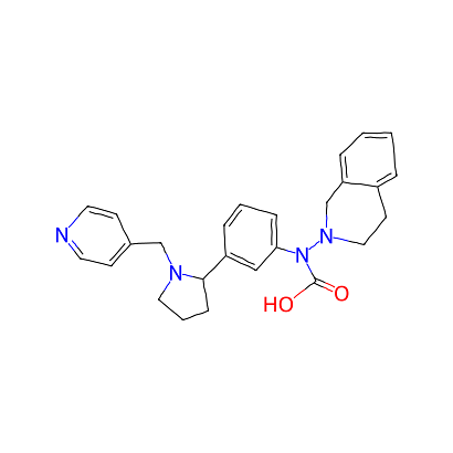 O=C(O)N(c1cccc(C2CCCN2Cc2ccncc2)c1)N1CCc2ccccc2C1